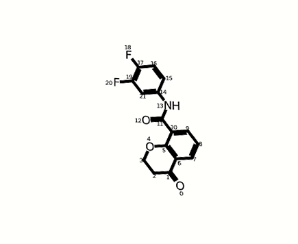 O=C1CCOc2c1cccc2C(=O)Nc1ccc(F)c(F)c1